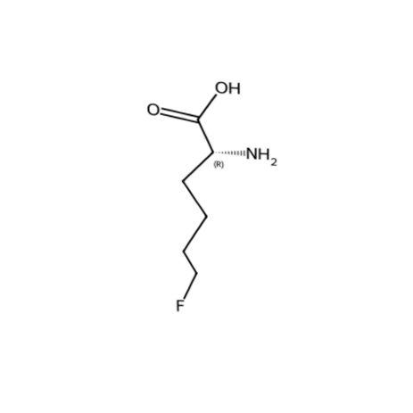 N[C@H](CCCCF)C(=O)O